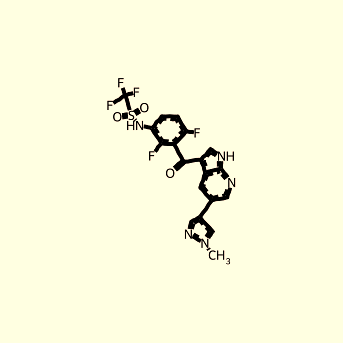 Cn1cc(-c2cnc3[nH]cc(C(=O)c4c(F)ccc(NS(=O)(=O)C(F)(F)F)c4F)c3c2)cn1